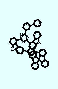 c1ccc(-c2cccc(-c3nc(-c4cccc5oc6ccc(-c7ccc(-c8cccc9c8C8(c%10ccccc%10-c%10ccccc%108)c8ccccc8-9)cc7)cc6c45)nc(-c4cccc5sc6ccccc6c45)n3)c2)cc1